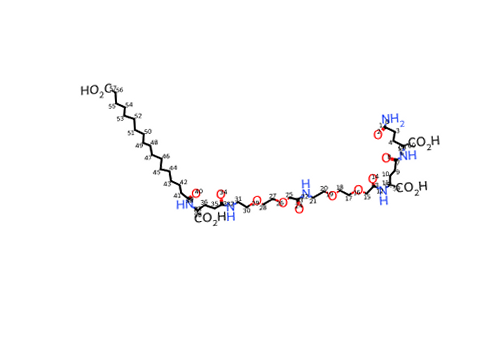 NC(=O)CC[C@H](NC(=O)CC[C@H](NC(=O)COCCOCCNC(=O)COCCOCCNC(=O)CC[C@H](NC(=O)CCCCCCCCCCCCCCCCC(=O)O)C(=O)O)C(=O)O)C(=O)O